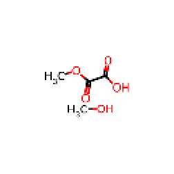 CO.COC(=O)C(=O)O